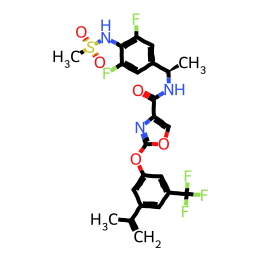 C=C(C)c1cc(Oc2nc(C(=O)N[C@H](C)c3cc(F)c(NS(C)(=O)=O)c(F)c3)co2)cc(C(F)(F)F)c1